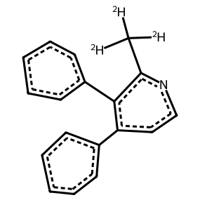 [2H]C([2H])([2H])c1nccc(-c2ccccc2)c1-c1ccccc1